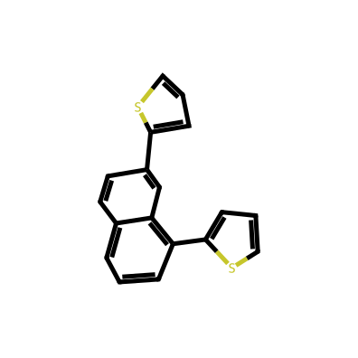 c1csc(-c2ccc3cccc(-c4cccs4)c3c2)c1